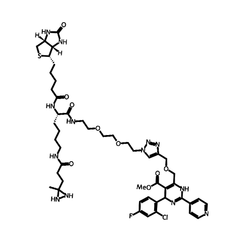 COC(=O)C1=C(COCc2cn(CCOCCOCCNC(=O)[C@H](CCCCNC(=O)CCC3(C)NN3)NC(=O)CCCC[C@@H]3SC[C@@H]4NC(=O)N[C@@H]43)nn2)NC(c2ccncc2)=NC1c1ccc(F)cc1Cl